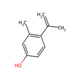 C=C(C)c1ccc(O)cc1C